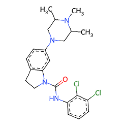 CC1CN(c2ccc3c(c2)N(C(=O)Nc2cccc(Cl)c2Cl)CC3)CC(C)N1C